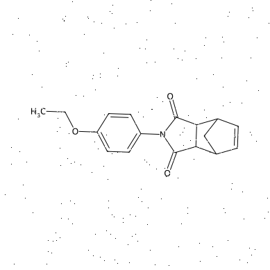 CCOc1ccc(N2C(=O)C3C4C=CC(C4)C3C2=O)cc1